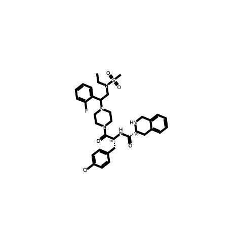 CCN(CC(c1ccccc1F)N1CCN(C(=O)[C@@H](Cc2ccc(Cl)cc2)NC(=O)[C@H]2Cc3ccccc3CN2)CC1)S(C)(=O)=O